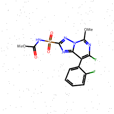 COC(=O)NS(=O)(=O)c1nc2c(-c3ccccc3F)c(F)nc(OC)n2n1